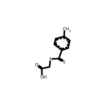 Cc1ccc(C(=S)SCC(=O)O)cc1